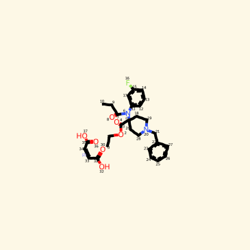 CCOC(=O)C1(N(C(=O)CC)c2cccc(F)c2)CCN(Cc2ccccc2)CC1.O=C(O)/C=C\C(=O)O